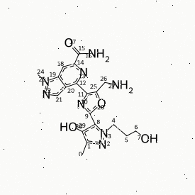 Cc1nn(CCCO)c(-c2nc(-c3nc(C(N)=O)cc4c3cnn4C)c(CN)o2)c1O